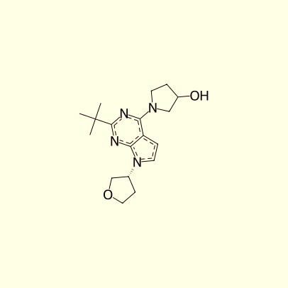 CC(C)(C)c1nc(N2CCC(O)C2)c2ccn([C@@H]3CCOC3)c2n1